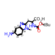 Cn1c(CC(NC(=O)OC(C)(C)C)C(=O)O)nc2cc(N)ccc21